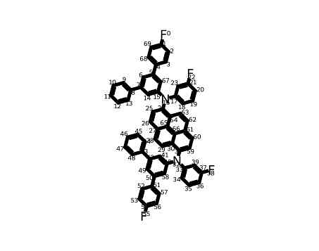 Fc1ccc(-c2cc(-c3ccccc3)cc(N(c3cccc(F)c3)c3ccc4ccc5c(N(c6cccc(F)c6)c6cc(-c7ccccc7)cc(-c7ccc(F)cc7)c6)ccc6ccc3c4c65)c2)cc1